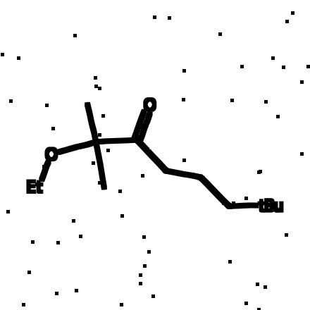 CCOC(C)(C)C(=O)CCCC(C)(C)C